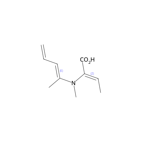 C=C/C=C(\C)N(C)/C(=C\C)C(=O)O